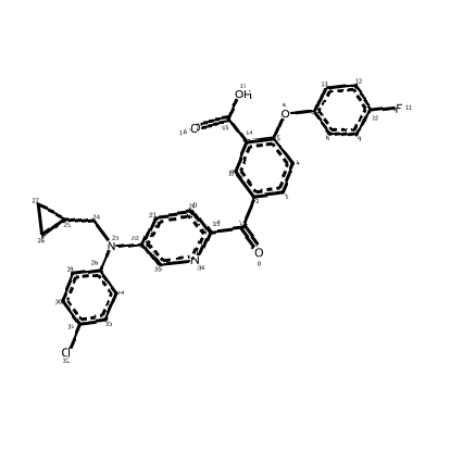 O=C(c1ccc(Oc2ccc(F)cc2)c(C(=O)O)c1)c1ccc(N(CC2CC2)c2ccc(Cl)cc2)cn1